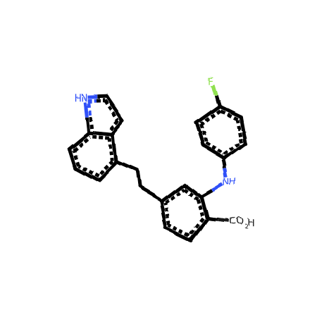 O=C(O)c1ccc(CCc2cccc3[nH]ccc23)cc1Nc1ccc(F)cc1